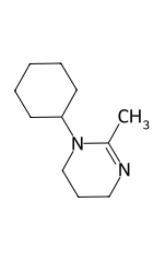 CC1=NCCCN1C1CCCCC1